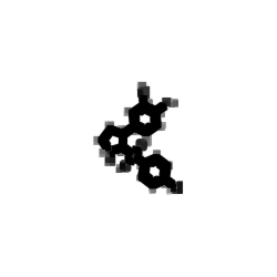 O=S(=O)(c1ccc(Cl)cc1)C1NCCC1c1ccc(F)c(Cl)c1